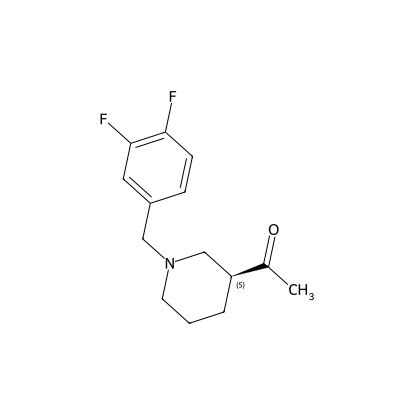 CC(=O)[C@H]1CCCN(Cc2ccc(F)c(F)c2)C1